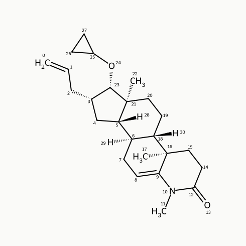 C=CC[C@H]1C[C@H]2[C@@H]3CC=C4N(C)C(=O)CC[C@]4(C)[C@H]3CC[C@]2(C)[C@H]1OC1CC1